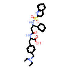 CCN(CC)Cc1ccc(CC(NC(=O)CC(NS(=O)(=O)c2ccc3ccccc3n2)c2ccccc2)C(=O)O)cc1